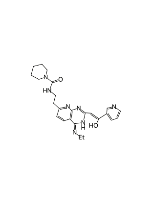 CC/N=c1\[nH]c(/C=C(\O)c2cccnc2)nc2nc(CCNC(=O)N3CCCCC3)ccc12